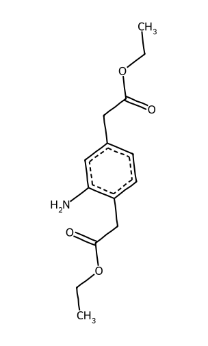 CCOC(=O)Cc1ccc(CC(=O)OCC)c(N)c1